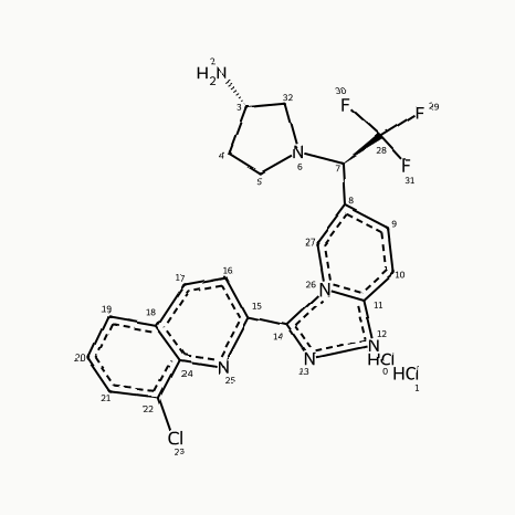 Cl.Cl.N[C@H]1CCN([C@H](c2ccc3nnc(-c4ccc5cccc(Cl)c5n4)n3c2)C(F)(F)F)C1